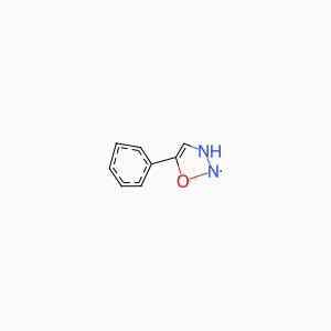 C1=C(c2ccccc2)O[N]N1